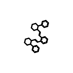 C(=CC1CCCCC1c1ccccc1)c1ccccc1C=CC1CCCCC1c1ccccc1